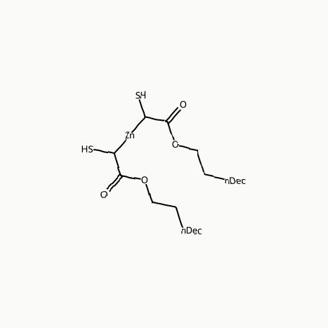 CCCCCCCCCCCCOC(=O)[CH](S)[Zn][CH](S)C(=O)OCCCCCCCCCCCC